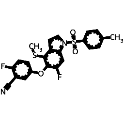 CSc1c(Oc2ccc(F)c(C#N)c2)c(F)cc2c1ccn2S(=O)(=O)c1ccc(C)cc1